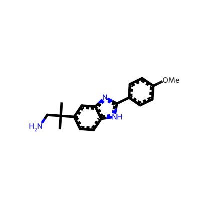 COc1ccc(-c2nc3cc(C(C)(C)CN)ccc3[nH]2)cc1